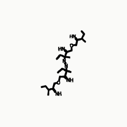 CCC(C)C(=N)COCC(=N)C(C)(CC)N=NC(C)(CC)C(=N)COCC(=N)C(C)CC